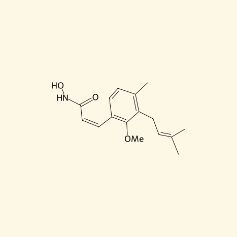 COc1c(/C=C\C(=O)NO)ccc(C)c1CC=C(C)C